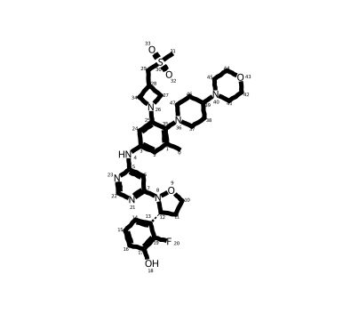 Cc1cc(Nc2cc(N3OCC[C@@H]3c3cccc(O)c3F)ncn2)cc(N2CC(CS(C)(=O)=O)C2)c1N1CCC(N2CCOCC2)CC1